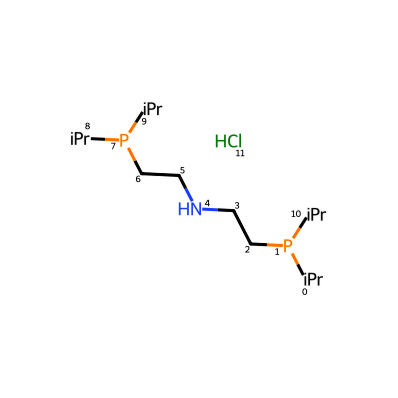 CC(C)P(CCNCCP(C(C)C)C(C)C)C(C)C.Cl